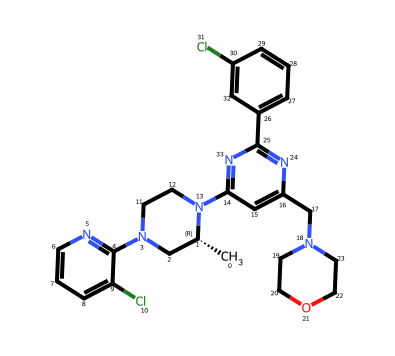 C[C@@H]1CN(c2ncccc2Cl)CCN1c1cc(CN2CCOCC2)nc(-c2cccc(Cl)c2)n1